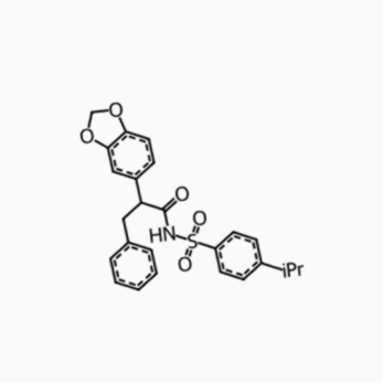 CC(C)c1ccc(S(=O)(=O)NC(=O)C(Cc2ccccc2)c2ccc3c(c2)OCO3)cc1